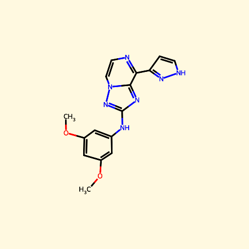 COc1cc(Nc2nc3c(-c4cc[nH]n4)nccn3n2)cc(OC)c1